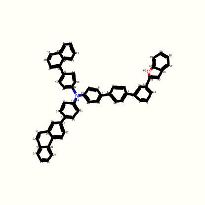 c1cc(-c2ccc(-c3ccc(N(c4ccc(-c5ccc6c(ccc7ccccc76)c5)cc4)c4ccc(-c5cccc6ccccc56)cc4)cc3)cc2)cc(-c2cc3ccccc3o2)c1